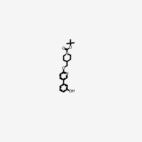 CC(C)(C)OC(=O)N1CCC(COc2ccc(-c3cccc(O)c3)cn2)CC1